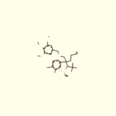 COc1cc(COCC(CCC=O)(c2ccc(Cl)c(Cl)c2)C(NC(=O)O)C(C)(C)C)cc(OC)c1OC